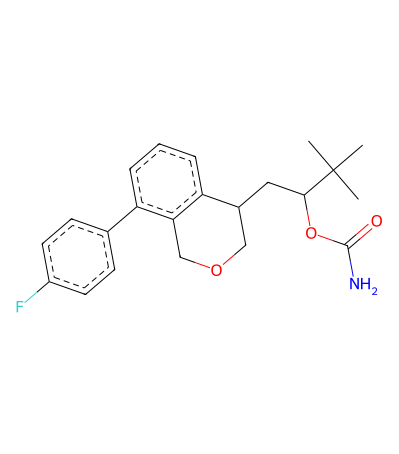 CC(C)(C)C(CC1COCc2c(-c3ccc(F)cc3)cccc21)OC(N)=O